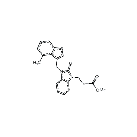 COC(=O)CCn1c(=O)n(Cc2csc3cccc(C)c23)c2ccccc21